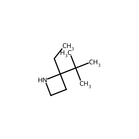 CCC1(C(C)(C)C)CCN1